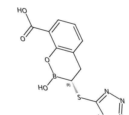 O=C(O)c1cccc2c1OB(O)[C@@H](Sc1nnn[nH]1)C2